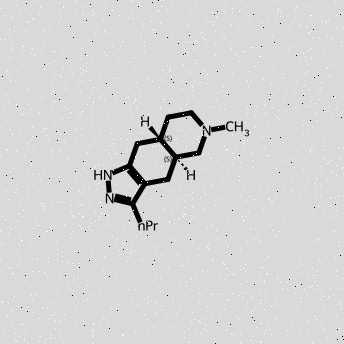 CCCc1n[nH]c2c1C[C@@H]1CN(C)CC[C@H]1C2